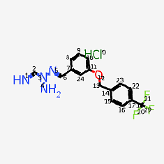 Cl.N=CN(N)N=Cc1cccc(OCc2ccc(C(F)(F)F)cc2)c1